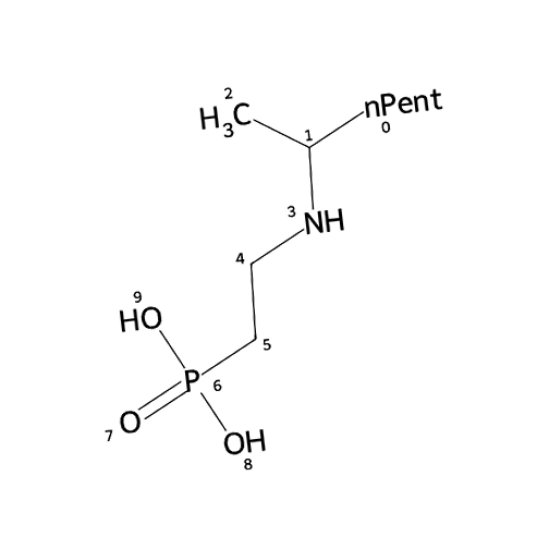 CCCCCC(C)NCCP(=O)(O)O